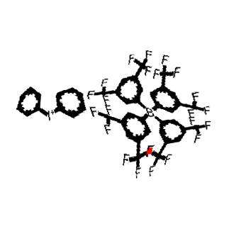 FC(F)(F)c1cc([B-](c2cc(C(F)(F)F)cc(C(F)(F)F)c2)(c2cc(C(F)(F)F)cc(C(F)(F)F)c2)c2cc(C(F)(F)F)cc(C(F)(F)F)c2)cc(C(F)(F)F)c1.c1ccc([I+]c2ccccc2)cc1